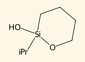 CC(C)[Si]1(O)CCCCO1